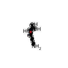 COc1cc(N=Nc2cc3c(S(=O)(=O)O)cc(S(=O)(=O)O)cc3cc2S(=O)(=O)O)c(C)cc1N=Nc1cc(C)c(N=Nc2cc(C)c(N)cc2C)cc1C